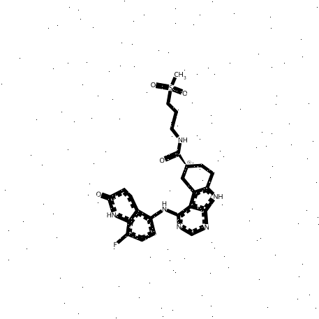 CS(=O)(=O)CCCNC(=O)[C@H]1CCc2[nH]c3ncnc(Nc4ccc(F)c5[nH]c(=O)ccc45)c3c2C1